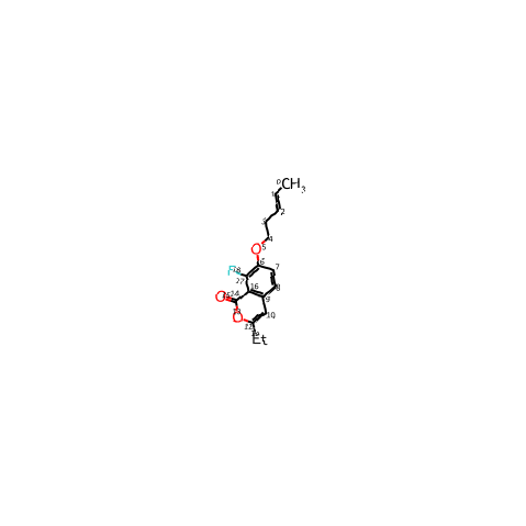 C/C=C/CCOc1ccc2cc(CC)oc(=O)c2c1F